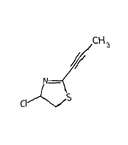 CC#CC1=NC(Cl)CS1